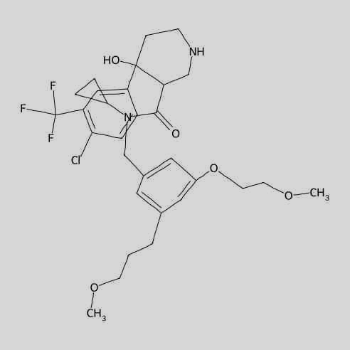 COCCCc1cc(CN(C(=O)C2CNCCC2(O)c2ccc(Cl)c(C(F)(F)F)c2)C2CC2)cc(OCCOC)c1